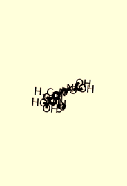 Cc1cc(N2CC(=NOC(CO)CO)C2)nc2c1c(=O)c(C(O)O)cn2-c1nccs1